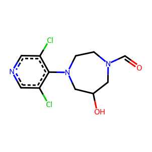 O=CN1CCN(c2c(Cl)cncc2Cl)CC(O)C1